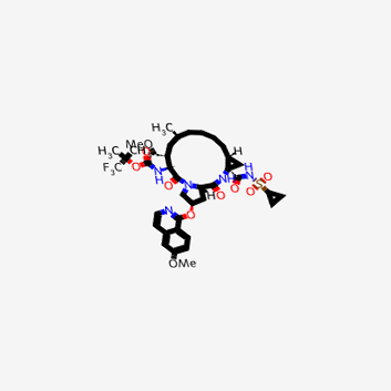 COC[C@@H]1C[C@@H](C)CCCC[C@H]2C[C@@]2(C(=O)NS(=O)(=O)C2CC2)NC(=O)[C@@H]2C[C@@H](Oc3nccc4cc(OC)ccc34)CN2C(=O)[C@H]1NC(=O)OC(C)(C)C(F)(F)F